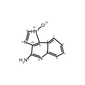 Nc1nc2ccccc2c2c1N=C[NH+]2[O-]